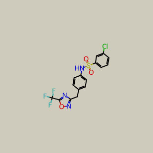 O=S(=O)(Nc1ccc(Cc2noc(C(F)(F)F)n2)cc1)c1cccc(Cl)c1